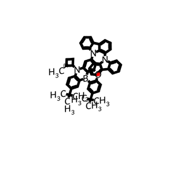 C[C@@H]1CCC1N1c2ccc(C(C)(C)C)cc2B2c3cc(C(C)(C)C)ccc3Oc3cc(-n4c5ccccc5c5cccc(-n6c7ccccc7c7ccccc76)c54)cc1c32